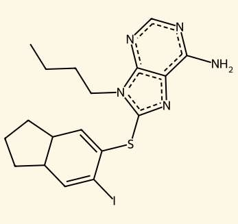 CCCCn1c(SC2=CC3CCCC3C=C2I)nc2c(N)ncnc21